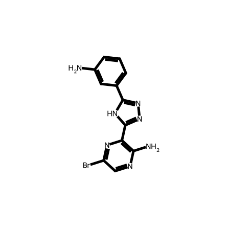 Nc1cccc(-c2nnc(-c3nc(Br)cnc3N)[nH]2)c1